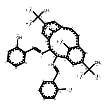 Cc1c2ccc3cc(C(C)(C)C)cc(c(/N=C/c4ccccc4O)c(/N=C/c4ccccc4O)c1cc(C(C)(C)C)c2)c3C